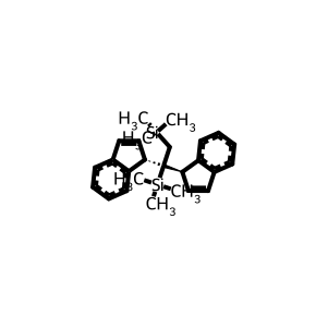 C[Si](C)(C)CC([C@@H]1C=Cc2ccccc21)([C@H]1C=Cc2ccccc21)[Si](C)(C)C